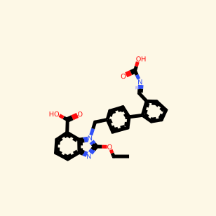 CCOc1nc2cccc(C(=O)O)c2n1Cc1ccc(-c2ccccc2/C=N/C(=O)O)cc1